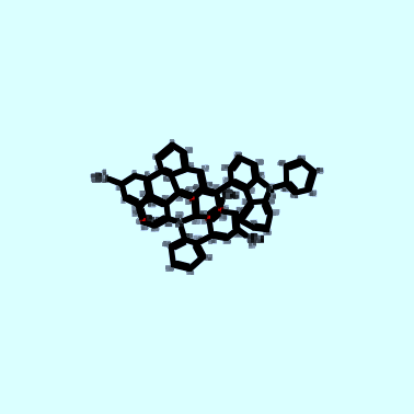 CC(C)(C)C1=CC(C(C)(C)C)CC(c2cccc3cccc(-c4ccccc4N(c4ccc(-c5cccc6c5c5ccccc5n6-c5ccccc5)cc4)c4ccccc4-c4cc(C(C)(C)C)cc(C(C)(C)C)c4)c23)=C1